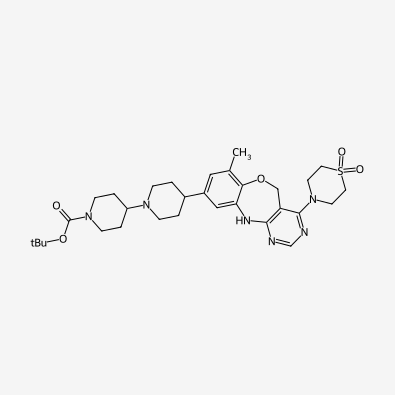 Cc1cc(C2CCN(C3CCN(C(=O)OC(C)(C)C)CC3)CC2)cc2c1OCc1c(ncnc1N1CCS(=O)(=O)CC1)N2